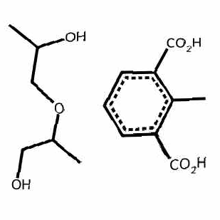 CC(O)COC(C)CO.Cc1c(C(=O)O)cccc1C(=O)O